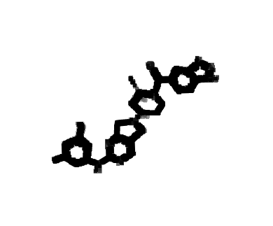 Cc1cc(C)cc(Nc2ncc3c(n2)CN([C@H]2CCN(C(=O)c4ccc5[nH]nnc5c4)[C@@H](C)C2)C3)c1